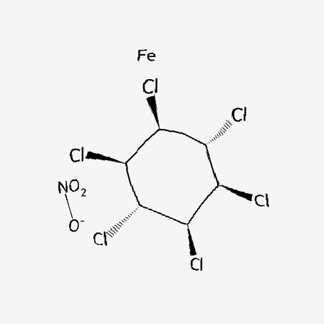 Cl[C@H]1[C@H](Cl)[C@@H](Cl)[C@@H](Cl)[C@H](Cl)[C@H]1Cl.O=[N+]([O-])[O-].[Fe]